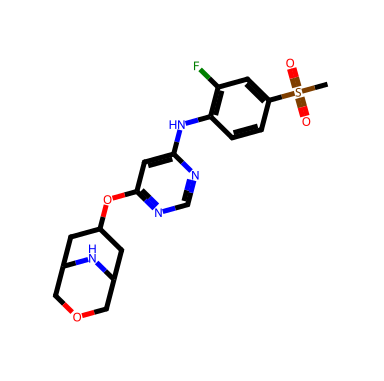 CS(=O)(=O)c1ccc(Nc2cc(OC3CC4COCC(C3)N4)ncn2)c(F)c1